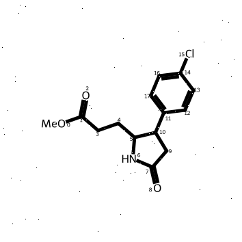 COC(=O)CCC1NC(=O)CC1c1ccc(Cl)cc1